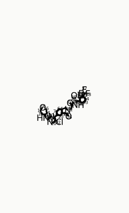 O=C(CN1Cc2ccc(-c3nc(NC4CCOCC4)ncc3Cl)cc2C1=O)N[C@H](CO)c1cccc(C(F)(F)F)c1